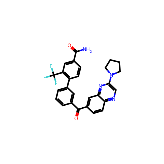 NC(=O)c1ccc(-c2cccc(C(=O)c3ccc4ncc(N5CCCC5)nc4c3)c2)c(C(F)(F)F)c1